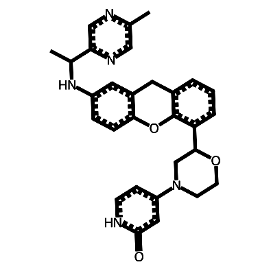 Cc1cnc(C(C)Nc2ccc3c(c2)Cc2cccc(C4CN(c5cc[nH]c(=O)c5)CCO4)c2O3)cn1